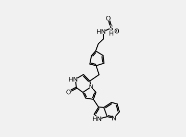 O=c1[nH]cc(Cc2ccc(CCN[SH](=O)=O)cc2)n2cc(-c3c[nH]c4ncccc34)cc12